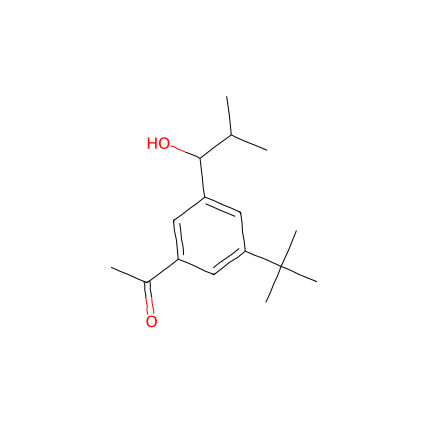 CC(=O)c1cc(C(O)C(C)C)cc(C(C)(C)C)c1